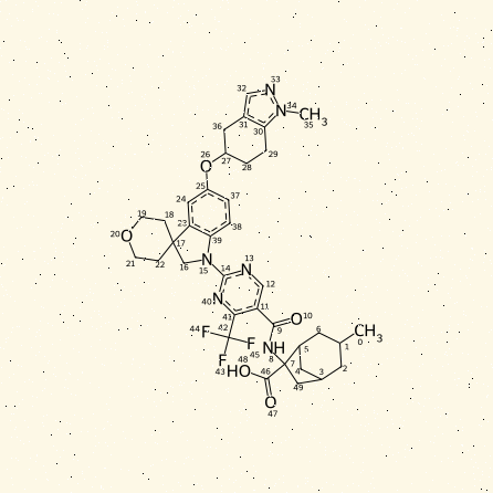 CC1CC2CC(C1)C(NC(=O)c1cnc(N3CC4(CCOCC4)c4cc(OC5CCc6c(cnn6C)C5)ccc43)nc1C(F)(F)F)(C(=O)O)C2